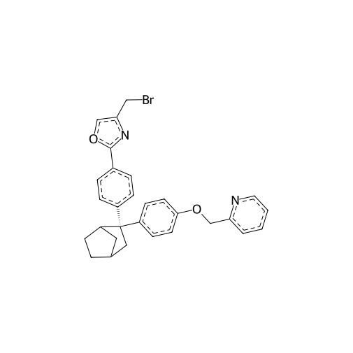 BrCc1coc(-c2ccc([C@]3(c4ccc(OCc5ccccn5)cc4)CC4CCC3C4)cc2)n1